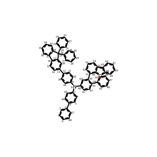 c1ccc(-c2ccc(N(c3ccc(-c4ccc5c(c4)C(c4ccccc4)(c4ccccc4)c4ccccc4-5)cc3)c3ccc(-c4ccccc4)c(-c4cccc5c4oc4ccccc45)c3)cc2)cc1